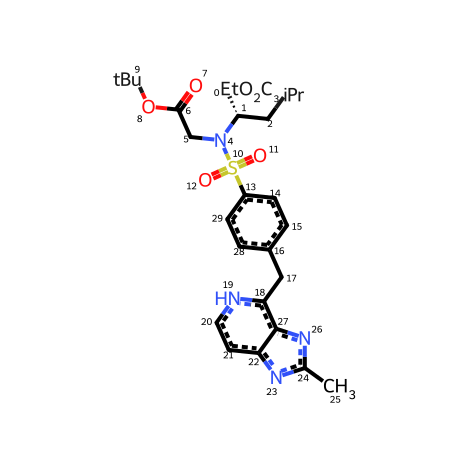 CCOC(=O)[C@H](CC(C)C)N(CC(=O)OC(C)(C)C)S(=O)(=O)c1ccc(Cc2[nH]ccc3nc(C)nc2-3)cc1